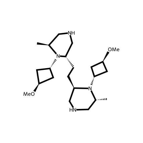 CO[C@H]1C[C@H](N2[C@H](CC[C@H]3CNC[C@H](C)N3[C@H]3C[C@H](OC)C3)CNC[C@H]2C)C1